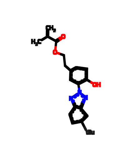 C=C(C)C(=O)OCCc1ccc(O)c(-n2nc3ccc(C(C)(C)C)cc3n2)c1